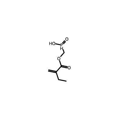 C=C(CC)C(=O)OC[PH](=O)O